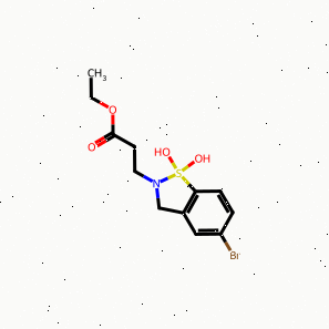 CCOC(=O)CCN1Cc2cc(Br)ccc2S1(O)O